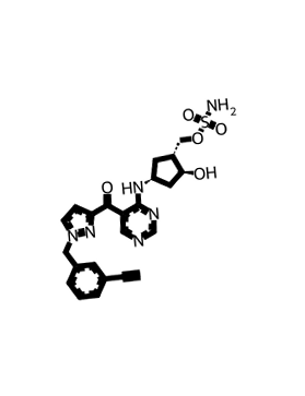 C#Cc1cccc(Cn2ccc(C(=O)c3cncnc3N[C@@H]3C[C@H](COS(N)(=O)=O)[C@@H](O)C3)n2)c1